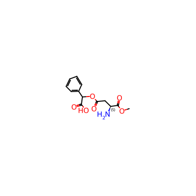 COC(=O)[C@@H](N)CC(=O)OC(C(=O)O)c1ccccc1